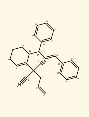 C=CCC(C#N)(C#N)C1=CCCCC1C(/C=C/c1ccccc1)c1ccccc1